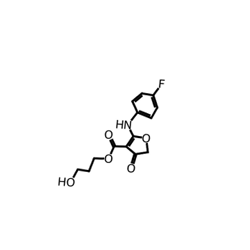 O=C1COC(Nc2ccc(F)cc2)=C1C(=O)OCCCO